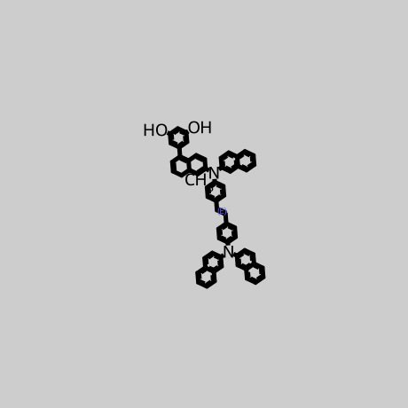 CC12C=C(N(c3ccc(/C=C/c4ccc(N(c5ccc6ccccc6c5)c5ccc6ccccc6c5)cc4)cc3)c3ccc4ccccc4c3)C=CC1=C(c1cc(O)cc(O)c1)C=CC2